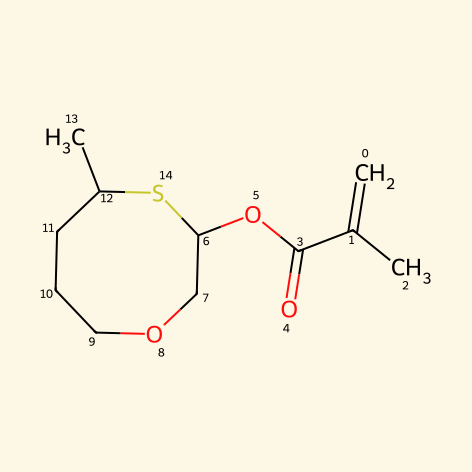 C=C(C)C(=O)OC1COCCCC(C)S1